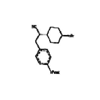 CCCCCc1ccc(CC(C#N)[C@H]2CC[C@H](CCC)CC2)cc1